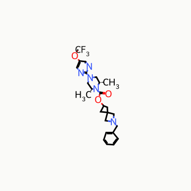 C[C@@H]1CN(c2ncc(OC(F)(F)F)cn2)C[C@H](C)N1C(=O)OC1CC2(C1)CN(Cc1ccccc1)C2